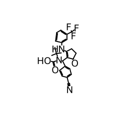 CC(C)(C)N(C(=O)O)C(C1=C(Nc2cccc(C(F)(F)F)c2)CCC1=O)c1ccc(C#N)cc1